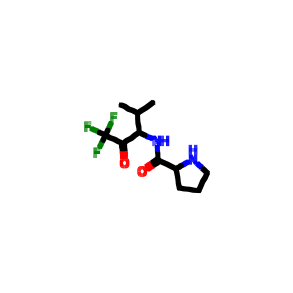 CC(C)C(NC(=O)C1CCCN1)C(=O)C(F)(F)F